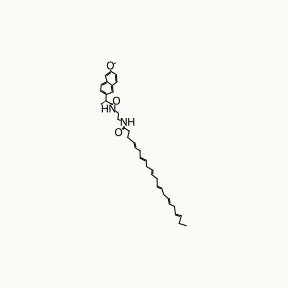 CCC=CCC=CCC=CCC=CCC=CCC=CCCC(=O)NCCNC(=O)[C@@H](C)c1ccc2cc(OC)ccc2c1